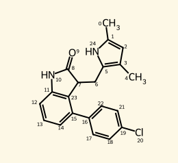 Cc1cc(C)c(CC2C(=O)Nc3cccc(-c4ccc(Cl)cc4)c32)[nH]1